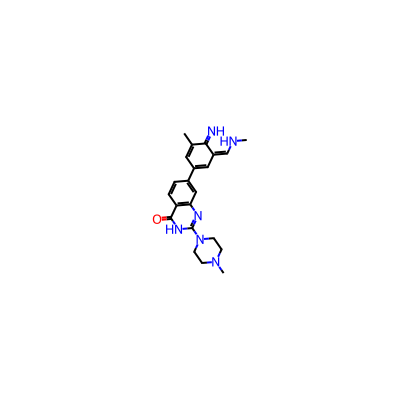 CN/C=C1/C=C(c2ccc3c(=O)[nH]c(N4CCN(C)CC4)nc3c2)C=C(C)C1=N